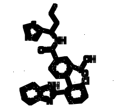 CCCC(NC(=O)c1ccc(-c2c(Cl)cccc2-c2nc3ccccc3[nH]2)c(C(=O)O)c1)c1cncs1